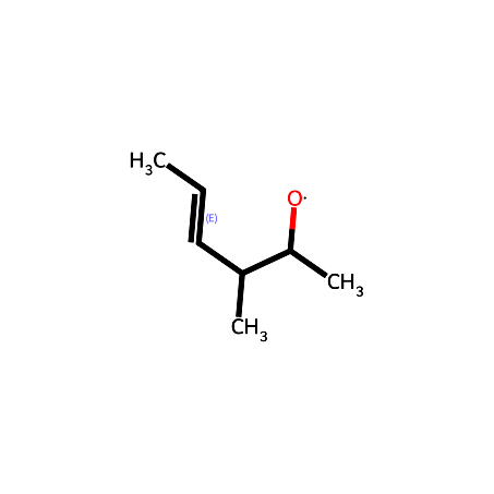 C/C=C/C(C)C(C)[O]